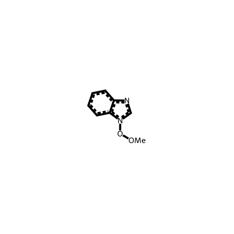 COOn1cnc2ccccc21